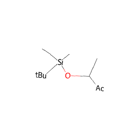 CC(=O)C(C)O[Si](C)(C)C(C)(C)C